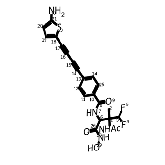 CC(=O)NC(C)(C(F)F)C(NC(=O)c1ccc(C#CC#Cc2ccc(N)s2)cc1)C(=O)NO